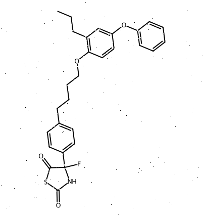 CCCc1cc(Oc2ccccc2)ccc1OCCCCc1ccc(C2(F)NC(=O)SC2=O)cc1